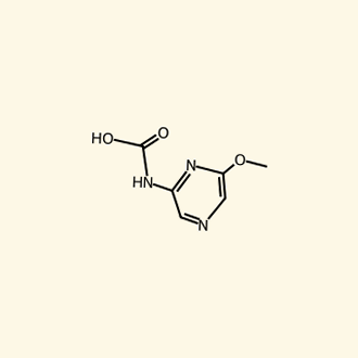 COc1cncc(NC(=O)O)n1